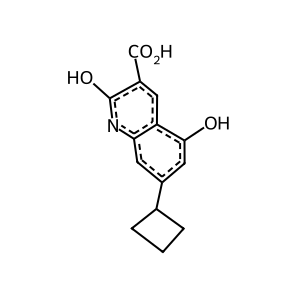 O=C(O)c1cc2c(O)cc(C3CCC3)cc2nc1O